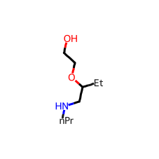 CCCNCC(CC)OCCO